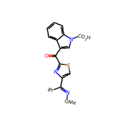 CON=C(c1csc(C(=O)c2cn(C(=O)O)c3ccccc23)n1)C(C)C